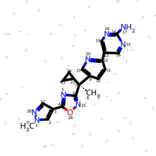 Cn1cc(-c2nc([C@](C)(c3ccc(-c4cnc(N)nc4)nc3)C3CC3)no2)cn1